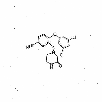 N#Cc1ccc(Oc2cc(Cl)cc(Cl)c2)c(SN2CCNC(=O)C2)c1